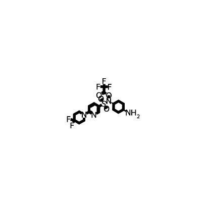 N[C@H]1CC[C@H](N(OC(=O)C(F)(F)F)S(=O)(=O)c2ccc(N3CCC(F)(F)CC3)nc2)CC1